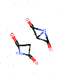 O=C1C2C(=O)N12.O=C1CC(=O)N1